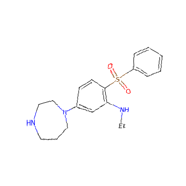 CCNc1cc(N2CCCNCC2)ccc1S(=O)(=O)c1ccccc1